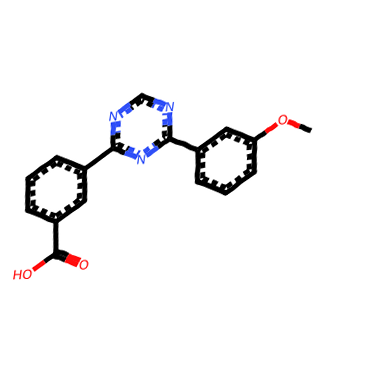 COc1cccc(-c2ncnc(-c3cccc(C(=O)O)c3)n2)c1